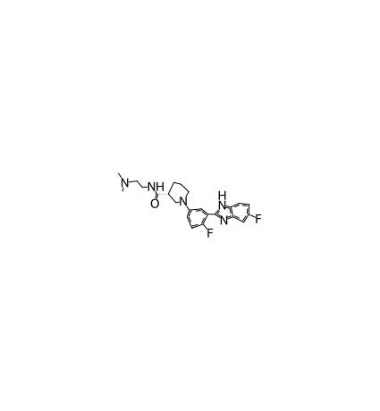 CN(C)CCNC(=O)[C@@H]1CCCN(c2ccc(F)c(-c3nc4cc(F)ccc4[nH]3)c2)C1